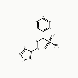 NS(=O)(=O)C(CCc1cocn1)c1ccccc1